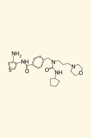 Nc1cscc1NC(=O)c1ccc(CN(CCCN2CCOCC2)C(=O)NC2CCCC2)cc1